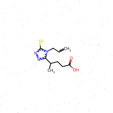 C=CCn1c(S)nnc1C(C)CCC(=O)O